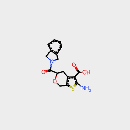 Nc1sc2c(c1C(=O)O)CC(C(=O)N1Cc3ccccc3C1)OC2